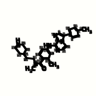 Cc1ccc(-c2cnc3c(Nc4ccc(C(=O)N(C)CCC5CCNCC5)c(C)c4)nccn23)cc1